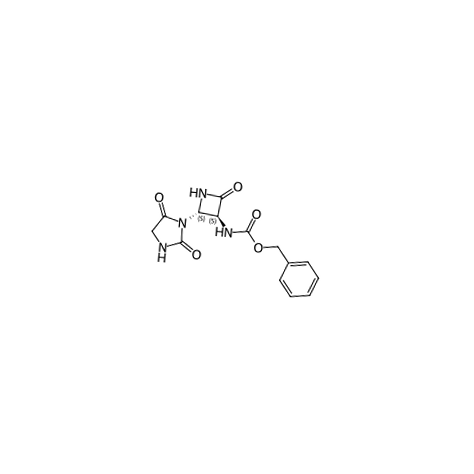 O=C(N[C@@H]1C(=O)N[C@H]1N1C(=O)CNC1=O)OCc1ccccc1